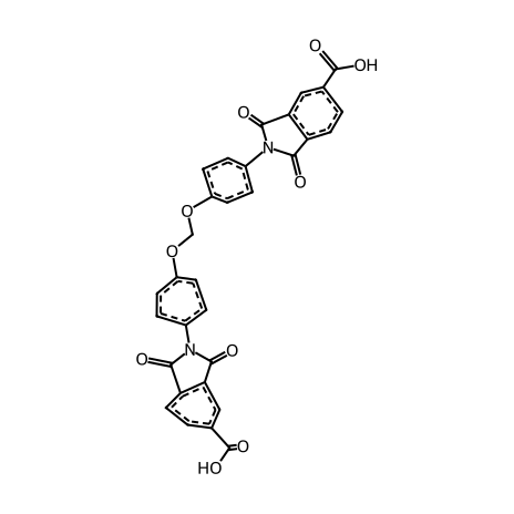 O=C(O)c1ccc2c(c1)C(=O)N(c1ccc(OCOc3ccc(N4C(=O)c5ccc(C(=O)O)cc5C4=O)cc3)cc1)C2=O